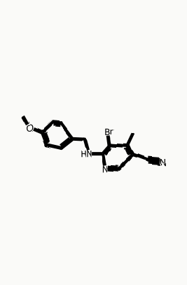 COc1ccc(CNc2ncc(C#N)c(C)c2Br)cc1